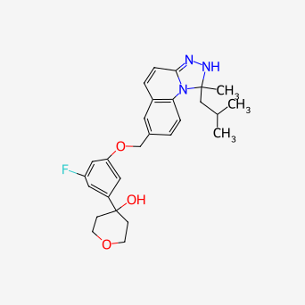 CC(C)CC1(C)NN=C2C=Cc3cc(COc4cc(F)cc(C5(O)CCOCC5)c4)ccc3N21